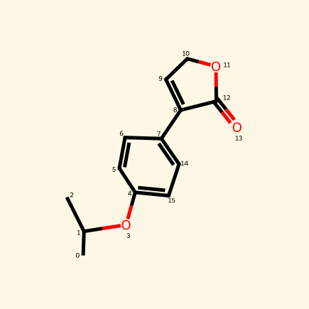 CC(C)Oc1ccc(C2=CCOC2=O)cc1